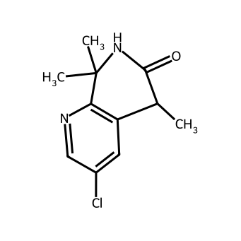 CC1C(=O)NC(C)(C)c2ncc(Cl)cc21